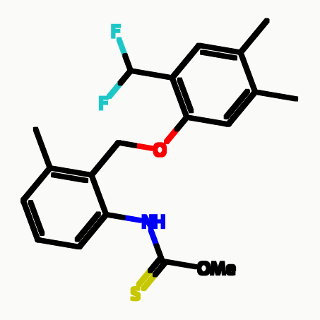 COC(=S)Nc1cccc(C)c1COc1cc(C)c(C)cc1C(F)F